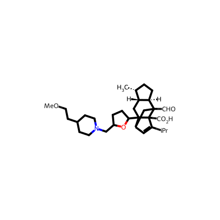 COCCC1CCN(CC2CCC(C34C[C@@H]5[C@H](C)CC[C@H]5C5(C=O)CC3C=C(C(C)C)C45C(=O)O)O2)CC1